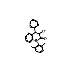 CCC(C(=O)Nc1c(C)cccc1C)C(c1ccccc1)c1ccccc1